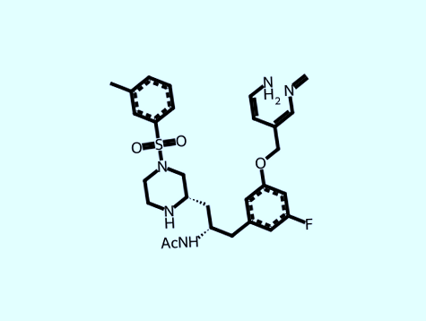 C=N/C=C(\C=C/N)COc1cc(F)cc(C[C@@H](C[C@H]2CN(S(=O)(=O)c3cccc(C)c3)CCN2)NC(C)=O)c1